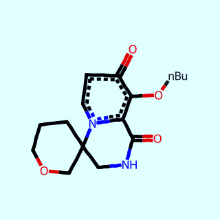 CCCCOc1c2n(ccc1=O)C1(CCCOC1)CNC2=O